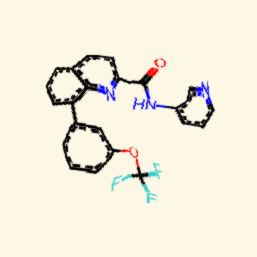 O=C(Nc1cccnc1)c1ccc2cccc(-c3cccc(OC(F)(F)F)c3)c2n1